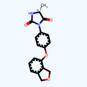 C[C@H]1NC(=O)N(c2ccc(Oc3cccc4c3COC4)cc2)C1=O